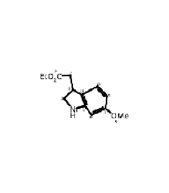 CCOC(=O)CC1CNc2cc(OC)ccc21